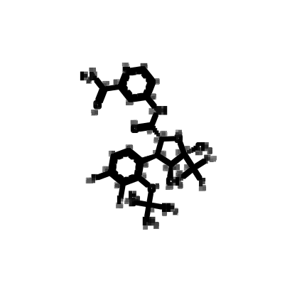 BC(B)(B)Oc1c([C@H]2[C@H](C(=O)Nc3ccnc(C(N)=O)c3)O[C@@](C)(C(F)(F)F)[C@H]2C)ccc(F)c1F